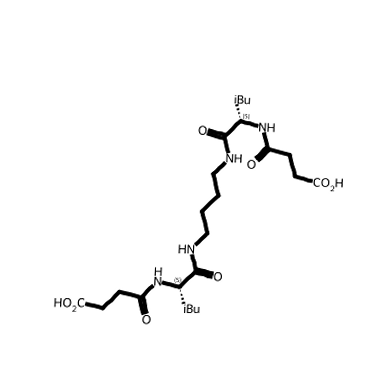 CCC(C)[C@H](NC(=O)CCC(=O)O)C(=O)NCCCCNC(=O)[C@@H](NC(=O)CCC(=O)O)C(C)CC